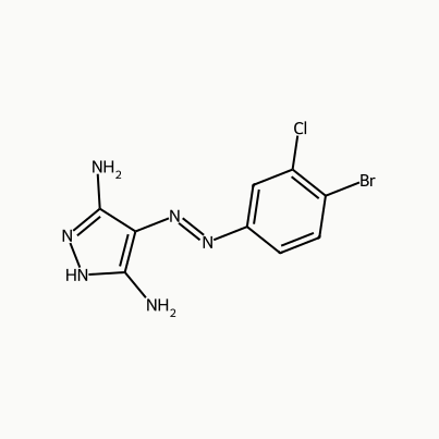 Nc1n[nH]c(N)c1N=Nc1ccc(Br)c(Cl)c1